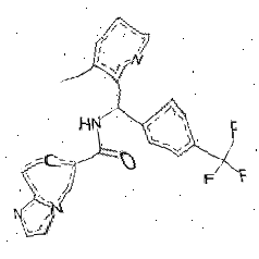 Cc1cccnc1C(NC(=O)c1ccc2nccn2c1)c1ccc(C(F)(F)F)cc1